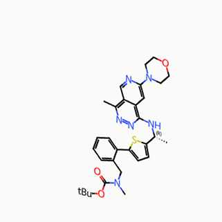 Cc1nnc(N[C@H](C)c2ccc(-c3ccccc3CN(C)C(=O)OC(C)(C)C)s2)c2cc(N3CCOCC3)ncc12